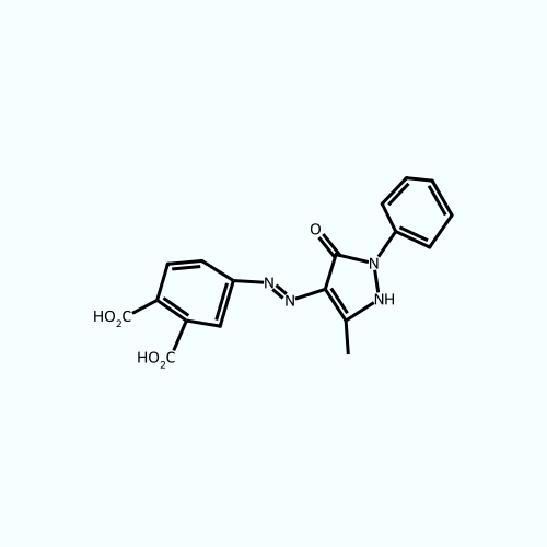 Cc1[nH]n(-c2ccccc2)c(=O)c1N=Nc1ccc(C(=O)O)c(C(=O)O)c1